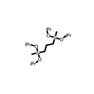 CC(C)O[Si](C)(CCC[Si](C)(OC(C)C)OC(C)C)OC(C)C